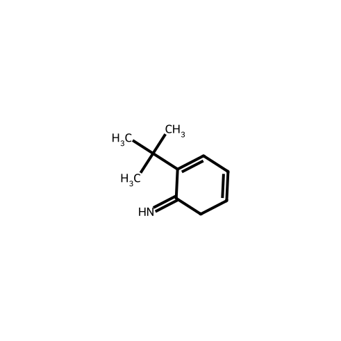 CC(C)(C)C1=CC=CCC1=N